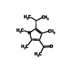 CC(=O)c1c(C)c(C(C)C)n(C)c1C